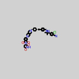 Cc1c(-c2ccc(C#N)c(Cl)c2)nn(Cc2ccc(C#C[C@H]3CC[C@H](CN4CCC5(CC4)CCN(c4ccc6c(c4)C(=O)N(C4CCC(=O)NC4=O)C6=O)CC5)CC3)cc2)c1C